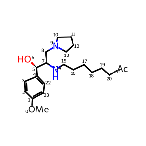 COc1ccc([C@@H](O)[C@@H](CN2CCCC2)NCCCCCCC(C)=O)cc1